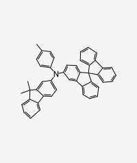 Cc1ccc(N(c2ccc3c(c2)-c2ccccc2C32c3ccccc3-c3ccccc32)c2ccc3c(c2)C(C)(C)c2ccccc2-3)cc1